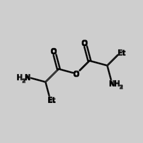 CCC(N)C(=O)OC(=O)C(N)CC